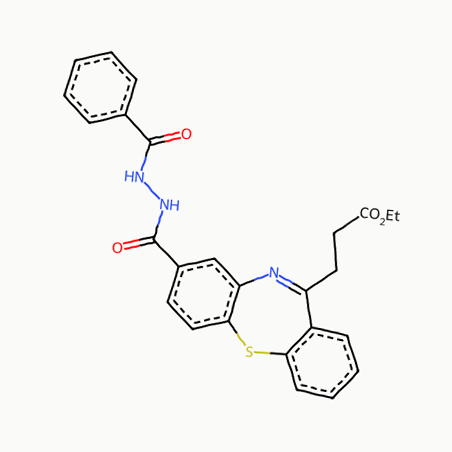 CCOC(=O)CCC1=Nc2cc(C(=O)NNC(=O)c3ccccc3)ccc2Sc2ccccc21